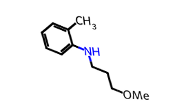 COCCCNc1ccccc1C